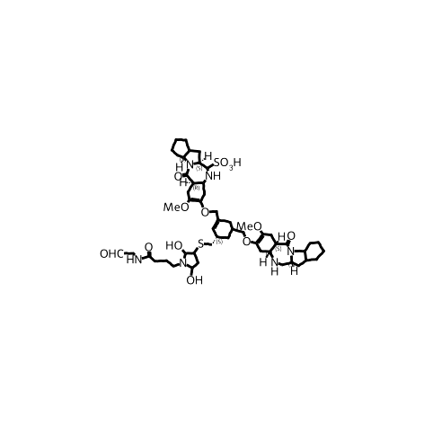 COC1=C(OCC2=C[C@@H](CSC3CC(O)N(CCCC(=O)NCC=O)C3O)CC(COC3=C(OC)C[C@@H]4C(=O)N5C6CCCCC6C[C@H]5CN[C@@H]4C3)C2)CC2NC(S(=O)(=O)O)[C@@H]3CC4CCCC[C@@H]4N3C(=O)[C@@H]2C1